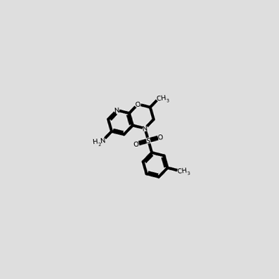 Cc1cccc(S(=O)(=O)N2CC(C)Oc3ncc(N)cc32)c1